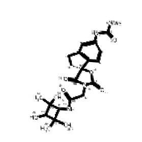 CNC(=O)Nc1ccc2c(c1)CC[C@@]21OC(=O)N(CC(=O)NC2C(C)(C)C(O)C2(C)C)C1=O